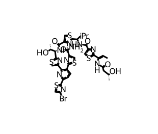 C/C=C(\NC(=O)C[C@@H](C)O)c1nc(C(=O)NC(c2nc(C(=O)N[C@H](c3nc(-c4nc(-c5nc(Br)cs5)ccc4-c4nc(C(N)=O)cs4)cs3)[C@@H](C)O)cs2)C(C)C)cs1